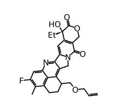 C=CCOCC1CCc2c(C)c(F)cc3nc4c(c1c23)Cn1c-4cc2c(c1=O)COC(=O)[C@]2(O)CC